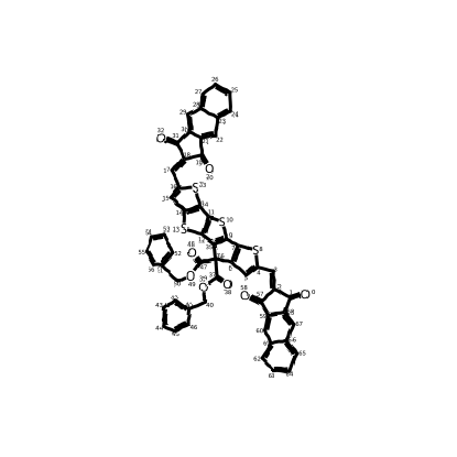 O=C1C(=Cc2cc3c(s2)-c2sc4c(sc5cc(C=C6C(=O)c7cc8ccccc8cc7C6=O)sc54)c2C3(C(=O)OCc2ccccc2)C(=O)OCc2ccccc2)C(=O)c2cc3ccccc3cc21